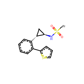 CC(C)S(=O)(=O)N[C@@H]1C[C@H]1c1ccccc1-c1cccs1